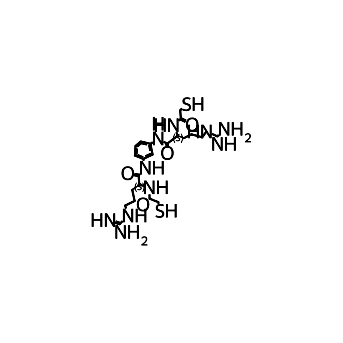 N=C(N)NCCC[C@H](NC(=O)CS)C(=O)Nc1cccc(NC(=O)[C@H](CCCNC(=N)N)NC(=O)CS)c1